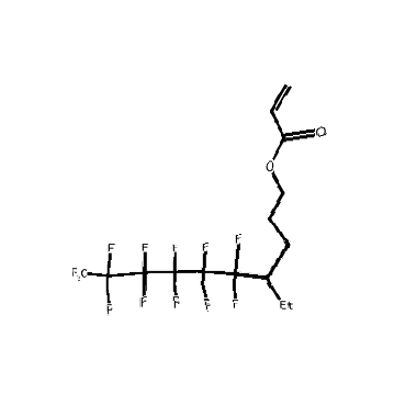 C=CC(=O)OCCCC(CC)C(F)(F)C(F)(F)C(F)(F)C(F)(F)C(F)(F)C(F)(F)F